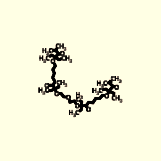 C=C(C)C(=O)C(CC)(CC)OCCCCCC(=O)C(CC)(CC)OCCOCCOC(CC)(CC)C(=O)CCCCCOC(CC)(CC)C(=O)C(=C)C